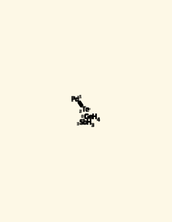 [GeH4].[Pd][Te].[SbH3]